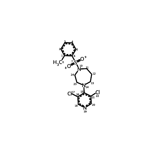 Cc1ccccc1S(=O)(=O)N1CCCN(c2c(Cl)cncc2Cl)CC1